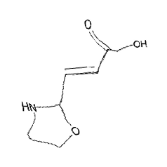 O=C(O)C=CC1NCCO1